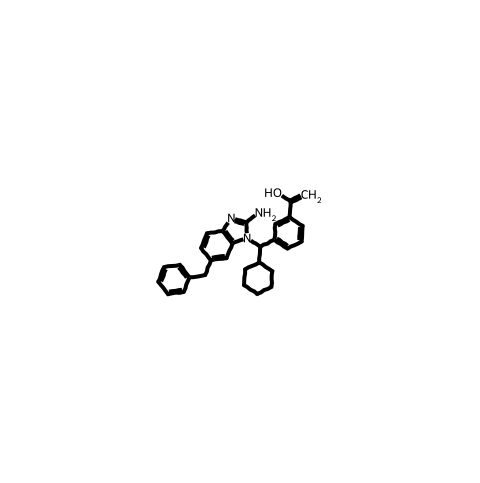 C=C(O)c1cccc(C(C2CCCCC2)n2c(N)nc3ccc(Cc4ccccc4)cc32)c1